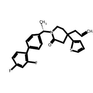 C=CCC1(c2cccs2)CCN([C@@H](C)c2ccc(-c3ccc(F)cc3F)cc2)C(=O)C1